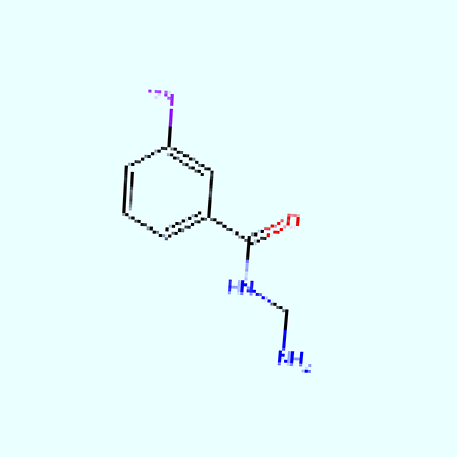 NCNC(=O)c1cccc([125I])c1